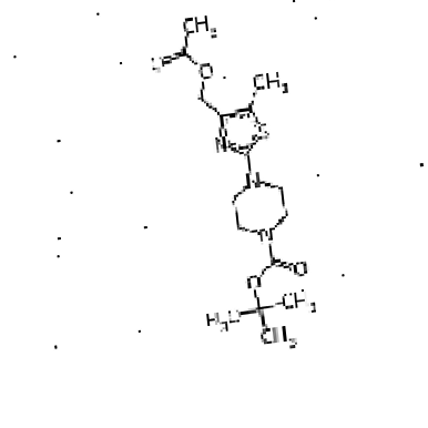 CC(=O)OCc1nc(N2CCN(C(=O)OC(C)(C)C)CC2)sc1C